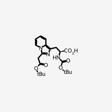 CC(C)(C)OC(=O)Cc1nc(C[C@H](NC(=O)OC(C)(C)C)C(=O)O)c2ccccn12